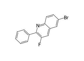 Fc1cc2cc(Br)ccc2nc1-c1ccccc1